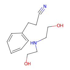 N#CCCc1ccccc1.OCCNCCO